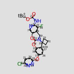 CC(C)(C)OC(=O)Nc1nccc(CN2C(=O)Oc3cc(Oc4ccc(Cl)nn4)ccc3C23CCC3)c1F